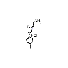 Cl.NC/C=C(\F)COc1ccc(I)cc1